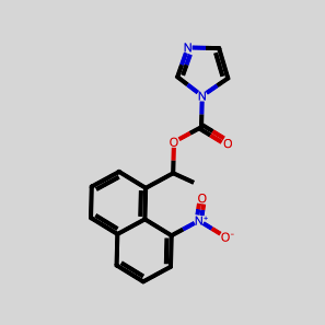 CC(OC(=O)n1ccnc1)c1cccc2cccc([N+](=O)[O-])c12